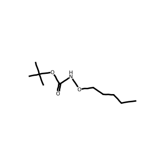 CCCCCONC(=O)OC(C)(C)C